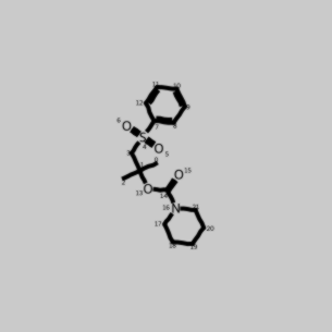 CC(C)(CS(=O)(=O)c1ccccc1)OC(=O)N1CCCCC1